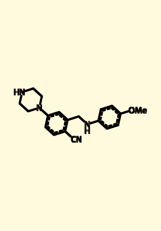 COc1ccc(NCc2cc(N3CCNCC3)ccc2C#N)cc1